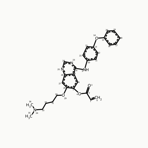 C=CC(=O)Oc1cc2c(Nc3ccc(Oc4ccccc4)cc3)ncnc2cc1OCCCCN(C)C